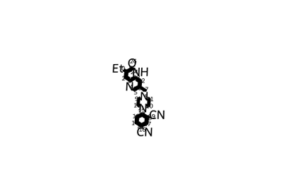 CCc1cc2ncc(CN3CCN(c4ccc(C#N)cc4C#N)CC3)cc2[nH]c1=O